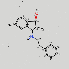 Cc1ccc2c(c1)C(N(C)CCc1ccccc1)C(C)C2=O